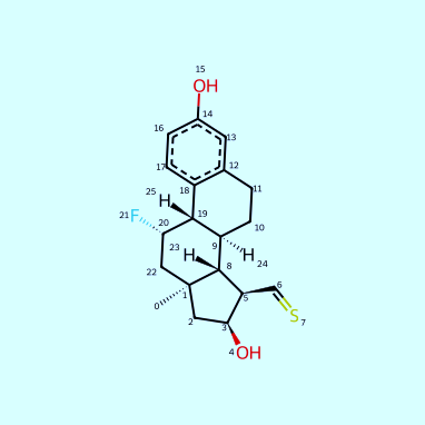 C[C@@]12C[C@H](O)[C@H](C=S)[C@H]1[C@@H]1CCc3cc(O)ccc3[C@H]1[C@@H](F)C2